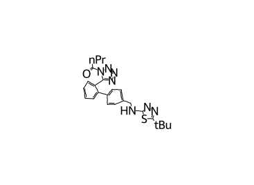 CCCC(=O)n1nnnc1-c1ccccc1-c1ccc(CNc2nnc(C(C)(C)C)s2)cc1